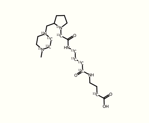 C[15N]1CC[15N](CC2CCC[15N]2[13CH2]C(=O)N[13CH2][13CH2][13CH2][13C](=O)NCC[13CH2]C(=O)O)[13CH2][13CH2]1